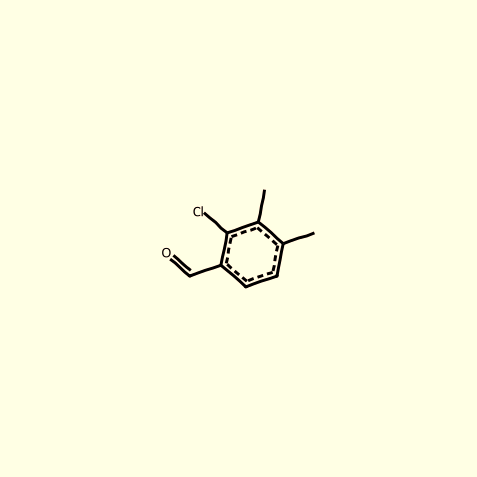 Cc1ccc(C=O)c(Cl)c1C